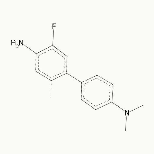 Cc1cc(N)c(F)cc1-c1ccc(N(C)C)cc1